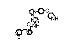 O=C(Nc1nc([C@H]2CCCN2c2ccc(OC3CCNCC3)cc2)cs1)c1cccn1Cc1ccnc(F)c1